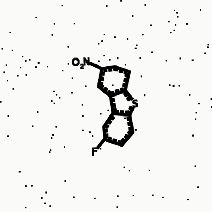 O=[N+]([O-])c1ccc2sc3ccc(F)cc3c2c1